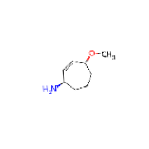 CO[C@@H]1C=C[C@H](N)CCC1